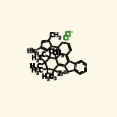 CC1=CC(C(C)(C)C)=CC1C1CC=CC2=C3C(=C4[C](C)([Zr+2])C(C)(C)C(C)(C)C(C)(C)C4(C)C21)Cc1ccccc13.[Cl-].[Cl-]